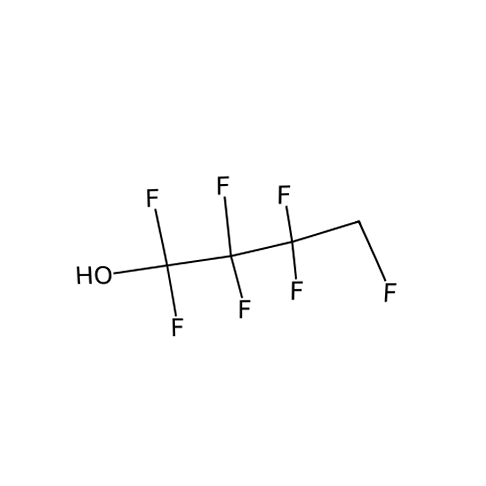 OC(F)(F)C(F)(F)C(F)(F)CF